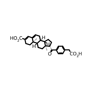 C[C@]12CC[C@H]3[C@@H](CC=C4C=C(C(=O)O)CC[C@@]43C)[C@@H]1CC[C@@H]2C(=O)c1ccc(CC(=O)O)cc1